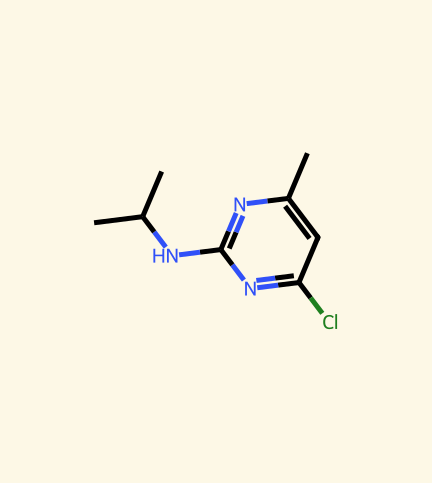 Cc1cc(Cl)nc(NC(C)C)n1